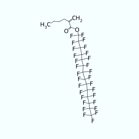 C=C(CCCC)C(=O)OC(F)(F)C(F)(F)C(F)(F)C(F)(F)C(F)(F)C(F)(F)C(F)(F)C(F)(F)C(F)(F)C(F)(F)C(F)(F)C(F)(F)C(F)(F)C(F)(F)F